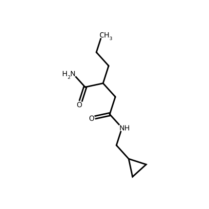 CCCC(CC(=O)NCC1CC1)C(N)=O